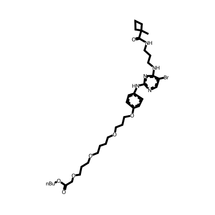 CCCCOC(=O)COCCCOCCCCOCCCOc1ccc(Nc2ncc(Br)c(NCCCNC(=O)C3(C)CCC3)n2)cc1